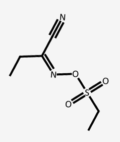 CCC(C#N)=NOS(=O)(=O)CC